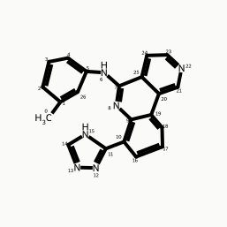 Cc1cccc(Nc2nc3c(-c4nnc[nH]4)cccc3c3cnccc23)c1